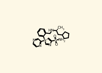 C[C@@H](CC1CCCC1)NCc1ccccc1[N+]1(c2cnccn2)C=NC(S(N)(=O)=O)=C1